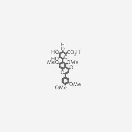 COc1ccc(-c2cc(=O)c3c(OC)c(C4OC(C(=O)O)C(O)C(O)C4O)c(OC)cc3o2)cc1OC